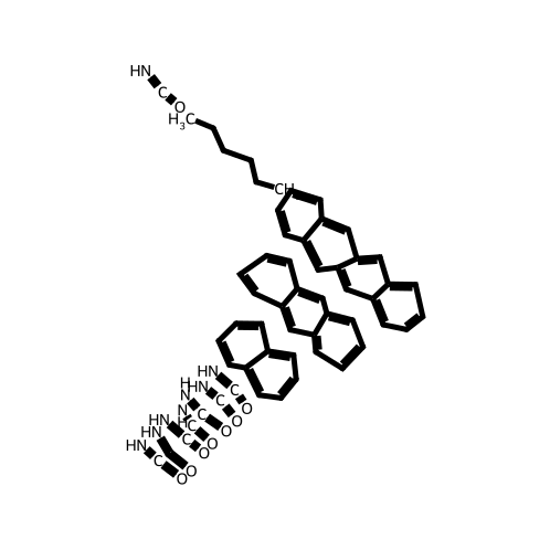 CCCCCC.N=C=O.N=C=O.N=C=O.N=C=O.N=C=O.N=C=O.N=C=O.N=C=O.c1ccc2cc3cc4ccccc4cc3cc2c1.c1ccc2cc3ccccc3cc2c1.c1ccc2ccccc2c1